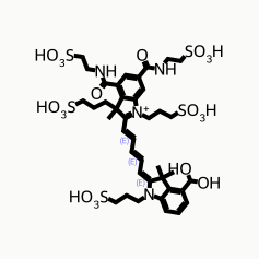 CC1(CCCS(=O)(=O)O)C(/C=C/C=C/C=C2/N(CCCS(=O)(=O)O)c3cccc(C(O)O)c3C2(C)C)=[N+](CCCS(=O)(=O)O)c2cc(C(=O)NCCS(=O)(=O)O)cc(C(=O)NCCS(=O)(=O)O)c21